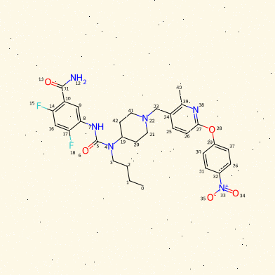 CCCCN(C(=O)Nc1cc(C(N)=O)c(F)cc1F)C1CCN(Cc2ccc(Oc3ccc([N+](=O)[O-])cc3)nc2C)CC1